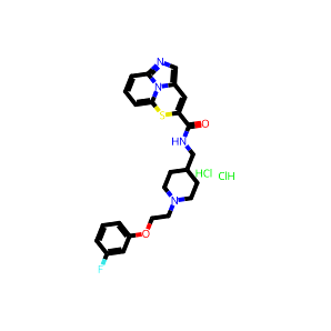 Cl.Cl.O=C(NCC1CCN(CCOc2cccc(F)c2)CC1)C1=Cc2cnc3cccc(n23)S1